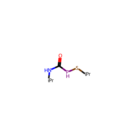 CC(C)NC(=O)PSC(C)C